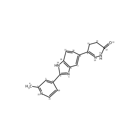 Cc1cc(-c2nc3cc(C4=NNC(=O)CC4)ccc3[nH]2)ccn1